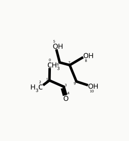 CC(C)C=O.OCC(O)CO